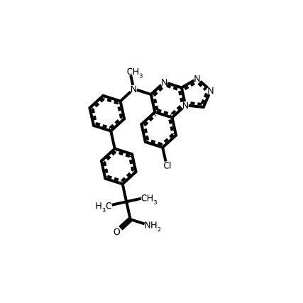 CN(c1cccc(-c2ccc(C(C)(C)C(N)=O)cc2)c1)c1nc2nncn2c2cc(Cl)ccc12